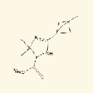 COC(=O)C1NC(C23CC(C)(C2)C3)=NC1(C)C